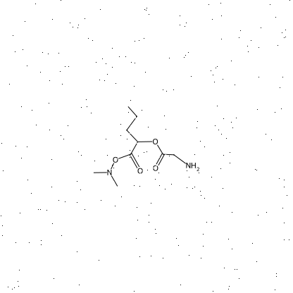 CCCC(OC(=O)CN)C(=O)ON(C)C